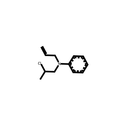 C=CCN(CC(C)Cl)c1ccccc1